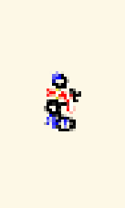 Cn1c2c(c3c(C(=O)OC(C)(C)C)c(S(=O)(=O)c4cccnc4)ccc31)C1CCC(C2)N1